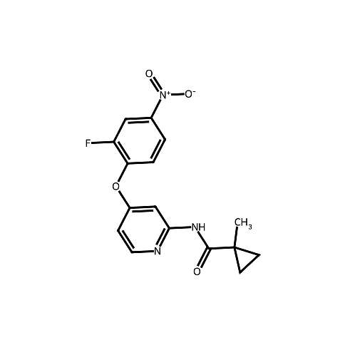 CC1(C(=O)Nc2cc(Oc3ccc([N+](=O)[O-])cc3F)ccn2)CC1